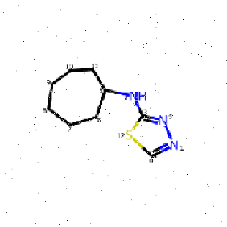 [c]1nnc(NC2CCCCCC2)s1